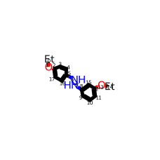 CCOc1ccc(NNc2cccc(OCC)c2)cc1